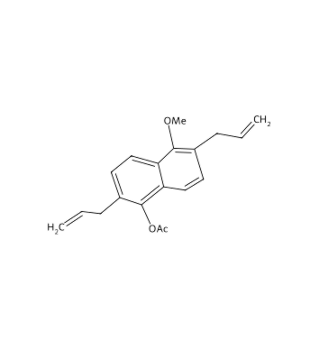 C=CCc1ccc2c(OC(C)=O)c(CC=C)ccc2c1OC